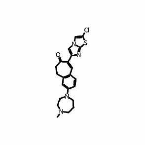 CN1CCCN(c2ccc3c(c2)CCC(=O)C(c2cn4cc(Cl)sc4n2)=C3)CC1